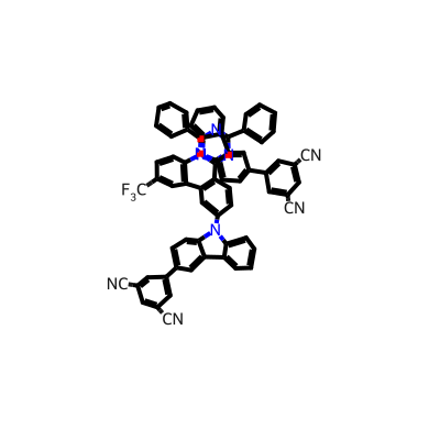 N#Cc1cc(C#N)cc(-c2ccc3c(c2)c2ccccc2n3-c2ccc(-c3nc(-c4ccccc4)nc(-c4ccccc4)n3)c(-c3cc(C(F)(F)F)ccc3-n3c4ccccc4c4cc(-c5cc(C#N)cc(C#N)c5)ccc43)c2)c1